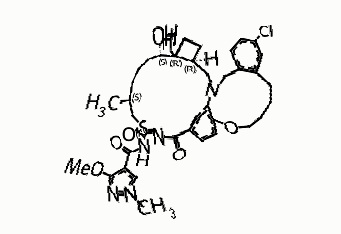 COc1nn(C)cc1C(=O)N[S@@]1(=O)=NC(=O)c2ccc3c(c2)N(Cc2ccc(Cl)cc2CCCCO3)C[C@@H]2CC[C@H]2[C@@H](O)CCC[C@H](C)C1